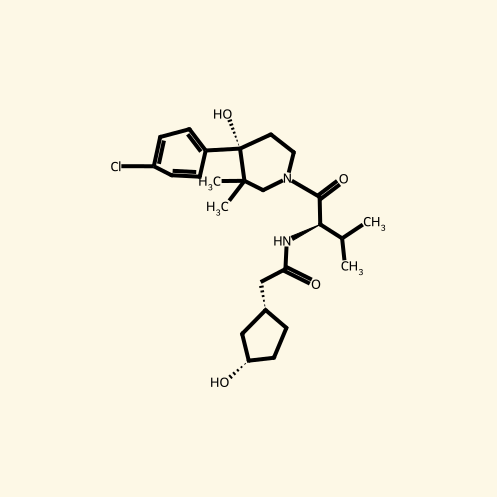 CC(C)[C@@H](NC(=O)C[C@@H]1CC[C@H](O)C1)C(=O)N1CC[C@](O)(c2ccc(Cl)cc2)C(C)(C)C1